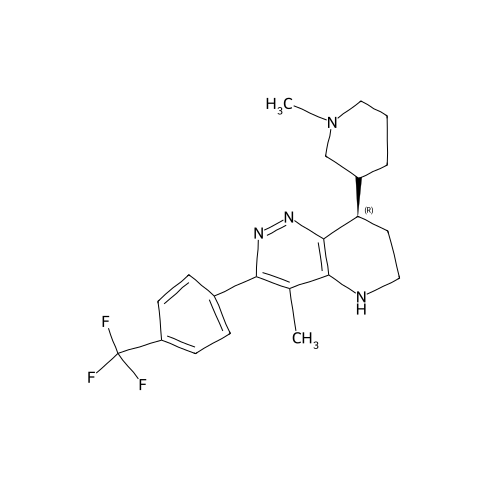 Cc1c(-c2ccc(C(F)(F)F)cc2)nnc2c1NCC[C@@H]2C1CCCN(C)C1